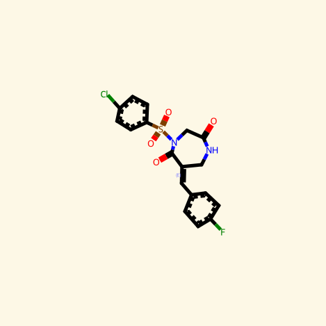 O=C1CN(S(=O)(=O)c2ccc(Cl)cc2)C(=O)/C(=C/c2ccc(F)cc2)CN1